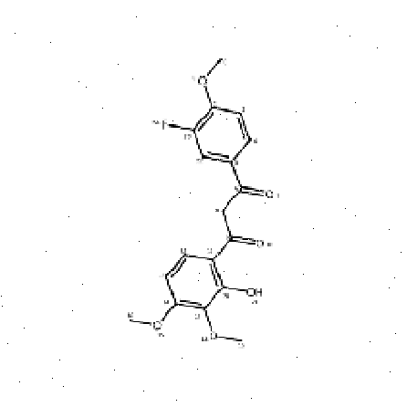 COc1ccc(C(=O)CC(=O)c2ccc(OC)c(OC)c2O)cc1F